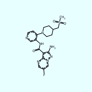 CS(=O)(=O)CC1CCN(c2ccncc2NC(=O)c2c(N)nn3cc(F)cnc23)CC1